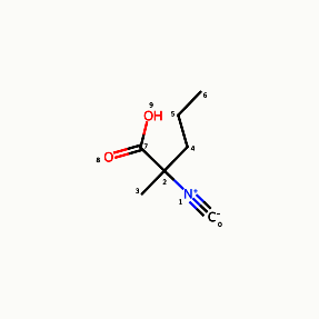 [C-]#[N+]C(C)(CCC)C(=O)O